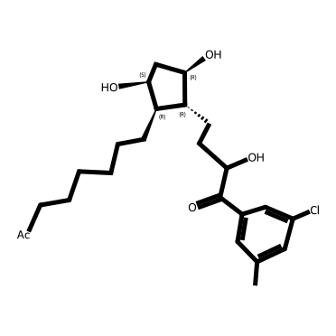 CC(=O)CCCCCC[C@@H]1[C@@H](CCC(O)C(=O)c2cc(C)cc(Cl)c2)[C@H](O)C[C@@H]1O